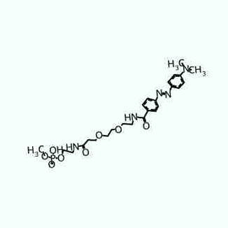 COP(=O)(O)OCCNC(=O)CCOCCOCCNC(=O)c1ccc(/N=N/c2ccc(N(C)C)cc2)cc1